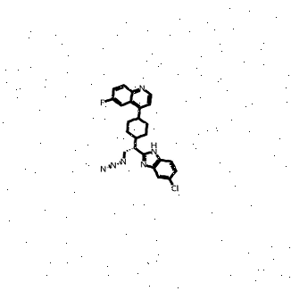 [N-]=[N+]=NC[C@@H](c1nc2cc(Cl)ccc2[nH]1)C1CCC(c2ccnc3ccc(F)cc23)CC1